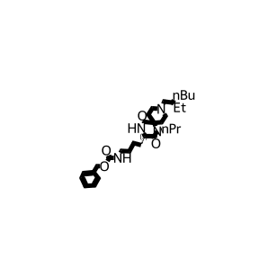 CCCCC(CC)CN1CCC2(CC1)C(=O)N[C@@H](CCCCNC(=O)OCc1ccccc1)C(=O)N2CCC